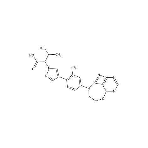 Cc1cc(N2CCOc3ncnc4c3C2=N4)ccc1-c1cnn(C(C(=O)O)C(C)C)c1